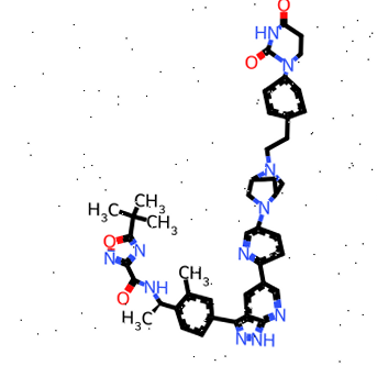 Cc1cc(-c2n[nH]c3ncc(-c4ccc(N5CC6CC5CN6CCc5ccc(N6CCC(=O)NC6=O)cc5)cn4)cc23)ccc1[C@@H](C)NC(=O)c1noc(C(C)(C)C)n1